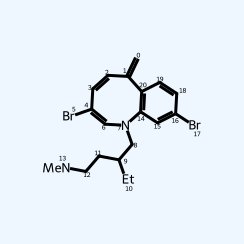 C=C1/C=C\C(Br)=C/N(CC(CC)CCNC)c2cc(Br)ccc21